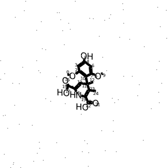 COc1cc(O)cc(OC)c1C1(C)C=C(C(=O)O)NC(C(=O)O)=C1C